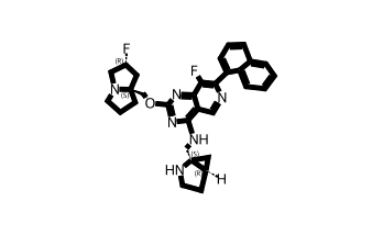 Fc1c(-c2cccc3ccccc23)ncc2c(NC[C@]34C[C@H]3CCN4)nc(OC[C@@]34CCCN3C[C@H](F)C4)nc12